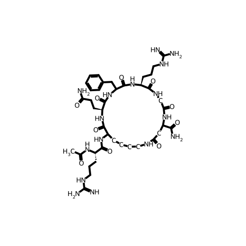 CC(=O)N[C@@H](CCCNC(=N)N)C(=O)NC1CCCCNC(=O)CC(C(N)=O)NC(=O)CNC(=O)[C@H](CCCNC(=N)N)NC(=O)C(Cc2ccccc2)NC(=O)[C@H](CCC(N)=O)NC1=O